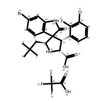 CC(C)(C)C[C@@H]1N[C@@H](C(=O)O)[C@@H](c2cccc(Cl)c2F)C12C(=O)Nc1cc(Br)ccc12.O=C(O)C(F)(F)F